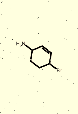 NC1C=CC(Br)CC1